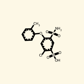 Cc1ccccc1Oc1cc(Cl)c(S(=O)(=O)O)cc1S(N)(=O)=O